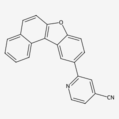 N#Cc1ccnc(-c2ccc3oc4ccc5ccccc5c4c3c2)c1